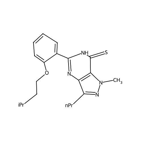 CCCc1nn(C)c2c(=S)[nH]c(-c3ccccc3OCCC(C)C)nc12